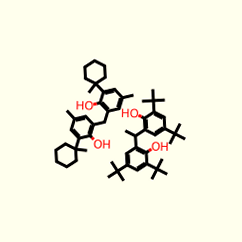 CC(c1cc(C(C)(C)C)cc(C(C)(C)C)c1O)c1cc(C(C)(C)C)cc(C(C)(C)C)c1O.Cc1cc(Cc2cc(C)cc(C3(C)CCCCC3)c2O)c(O)c(C2(C)CCCCC2)c1